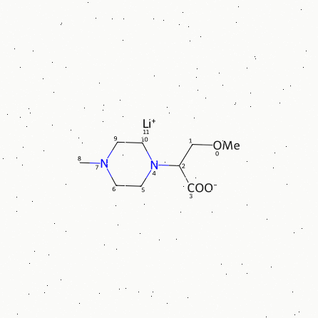 COCC(C(=O)[O-])N1CCN(C)CC1.[Li+]